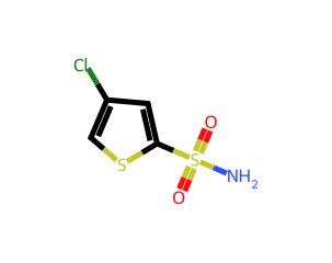 NS(=O)(=O)c1cc(Cl)cs1